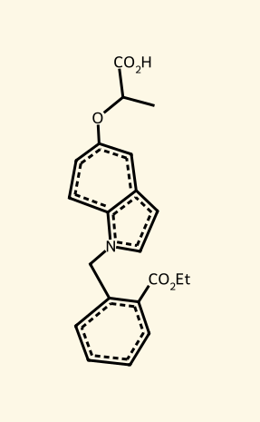 CCOC(=O)c1ccccc1Cn1ccc2cc(OC(C)C(=O)O)ccc21